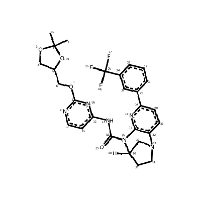 CC1(C)OCC(COc2nccc(NC(=O)N3c4nc(-c5cccc(C(F)(F)F)c5)ccc4N4CC[C@H]3C4)n2)O1